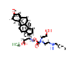 CCNCCN(CCO)C(=O)O/N=C(/CO)[C@H]1CC[C@H]2[C@@H]3CCC4=CC(=O)CC[C@]4(C)[C@H]3CC[C@]12C.Cl